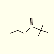 CCOS(=O)C(F)(F)F